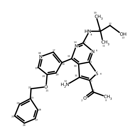 CC(=O)c1sc2nc(NC(C)(C)CO)nc(-c3cncc(OCc4ccccc4)c3)c2c1N